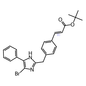 CC(C)(C)OC(=O)/C=C/c1ccc(Cc2nc(Br)c(-c3ccccc3)[nH]2)cc1